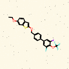 CCOc1ccc2cc(OCc3ccc(-c4cc(F)c(OC(F)(F)F)c(I)c4)cc3)sc2c1